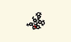 C=Cc1cc2c3c(c1)N(c1ccc(C(C)(C)C)cc1-c1ccccc1)c1oc4ccc(C)cc4c1B3c1cc3c(cc1N2c1ccc2c(c1)C(C)(C)CCC2(C)C)C(C)(C)CCC3(C)C